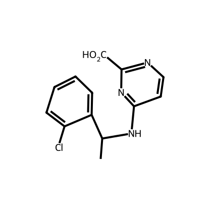 CC(Nc1ccnc(C(=O)O)n1)c1ccccc1Cl